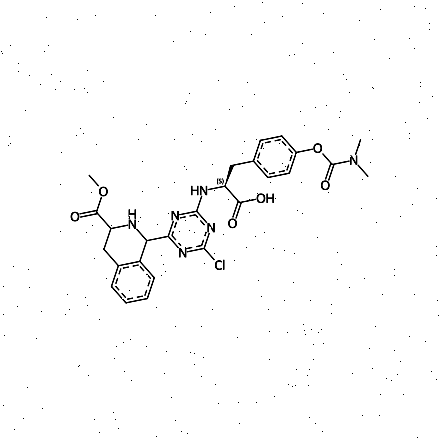 COC(=O)C1Cc2ccccc2C(c2nc(Cl)nc(N[C@@H](Cc3ccc(OC(=O)N(C)C)cc3)C(=O)O)n2)N1